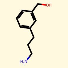 NCCCc1cccc(CO)c1